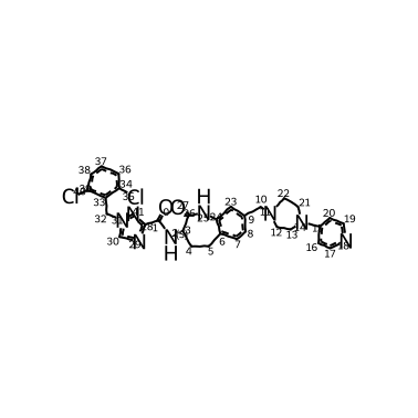 O=C(N[C@H]1CCc2ccc(CN3CCN(c4ccncc4)CC3)cc2NC1=O)c1ncn(Cc2c(Cl)cccc2Cl)n1